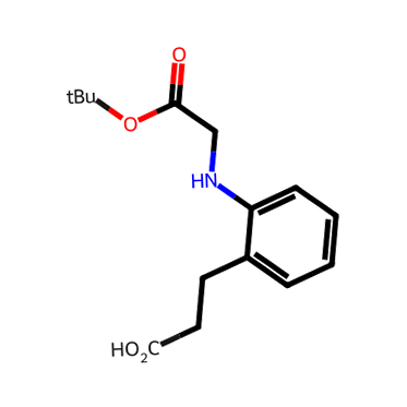 CC(C)(C)OC(=O)CNc1ccccc1CCC(=O)O